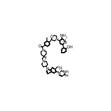 [2H]C1C=CN(c2cc3ccn(C4CCN(CC5(F)CCN(C(=O)c6ccc(C7CN(c8cc(-c9ccccc9O)nnc8N)CCO7)c(C)c6)CC5)CC4)c3cc2C)[C@H]([2H])N1